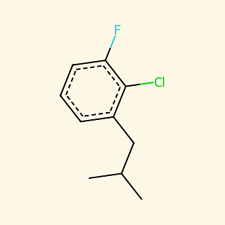 CC(C)Cc1cccc(F)c1Cl